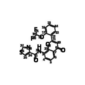 O=C(Nc1cccc2c(=O)cc(-c3ccccc3OC(F)F)oc12)c1cscn1